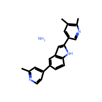 Cc1cc(-c2ccc3[nH]c(-c4cnc(C)c(C)c4)cc3c2)ccn1.N